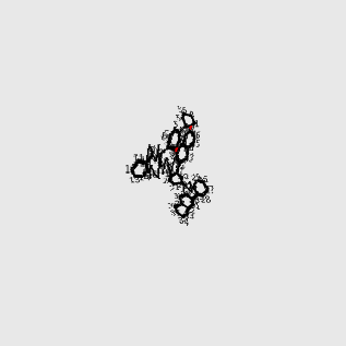 c1ccc(-c2ccc(-c3nc4ccccc4nc3-n3c4ccc(-n5c6ccccc6c6cc7ccccc7cc65)cc4c4cc5ccccc5cc43)cc2)cc1